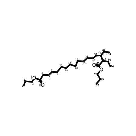 CCCOC(=O)CCCCCCCCCCCCCC(CC)C(CC)C(=O)OCCC